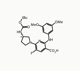 COc1cc(Nc2nc(N3CC[C@@H](NC(=O)OC(C)(C)C)C3)c(F)cc2C(=O)O)cc(OC)c1